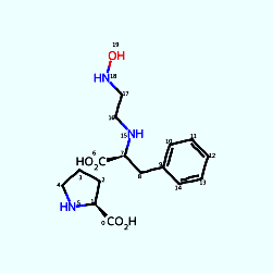 O=C(O)[C@@H]1CCCN1.O=C(O)[C@H](Cc1ccccc1)NCCNO